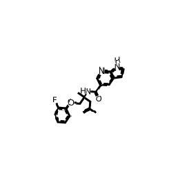 C=C(C)CC(C)(COc1ccccc1F)NC(=O)c1cnc2[nH]ccc2c1